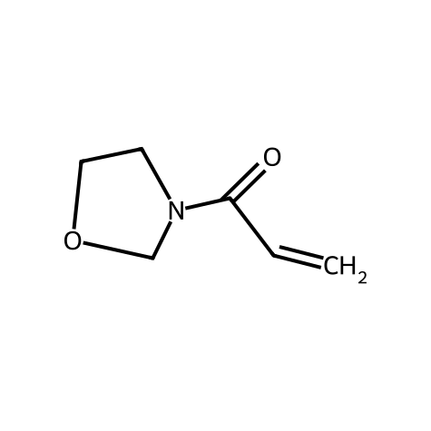 C=CC(=O)N1CCOC1